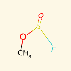 COS(=O)F